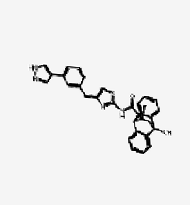 CC1(C(=O)Nc2nc(Cc3cccc(-c4cn[nH]c4)c3)cs2)CC2(C#N)c3ccccc3C1c1ccccc12